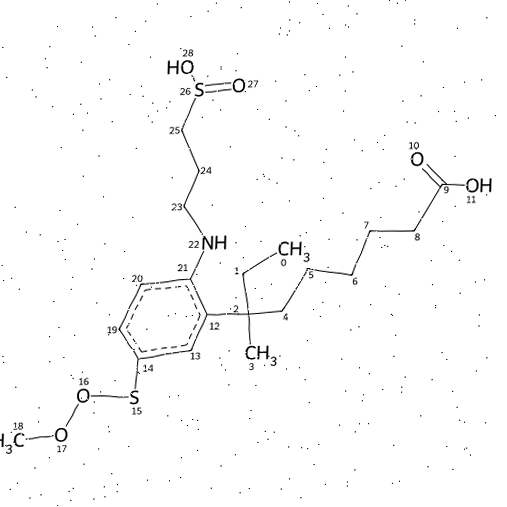 CCC(C)(CCCCCC(=O)O)c1cc(SOOC)ccc1NCCCS(=O)O